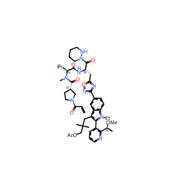 C=CC(=O)N1CC[C@H](C(=O)N(C)[C@H](C(=O)N[C@@H](Cc2nc(-c3ccc4c(c3)c(CC(C)(C)COC(C)=O)c(-c3cccnc3[C@H](C)OC)n4CC)no2)C(=O)N2CCCCN2)C(C)C)C1